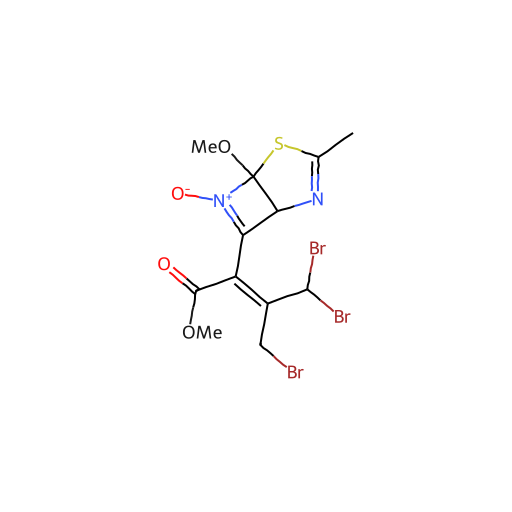 COC(=O)C(=C(CBr)C(Br)Br)C1=[N+]([O-])C2(OC)SC(C)=NC12